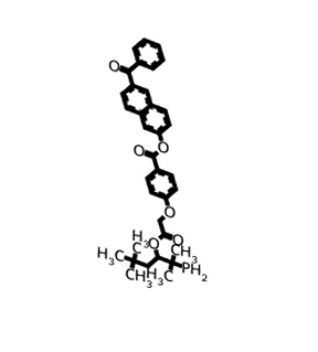 CC(C)(C)CC(OC(=O)COc1ccc(C(=O)Oc2ccc3cc(C(=O)c4ccccc4)ccc3c2)cc1)C(C)(C)P